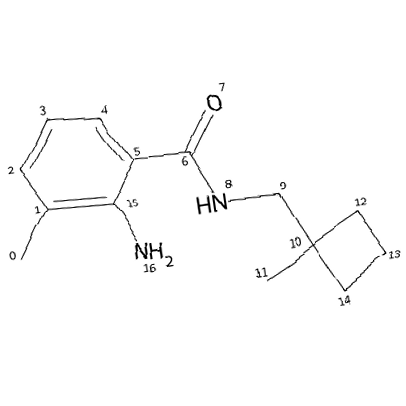 Cc1cccc(C(=O)NCC2(C)CCC2)c1N